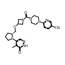 Cc1c(N2CCC[C@H]2COC2CN(C(=O)N3CCN(c4ccc(C#N)cn4)CC3)C2)cn[nH]c1=O